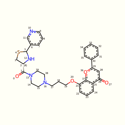 O=C([C@@H]1CSC(c2cccnc2)N1)N1CCN(CCCOc2cccc3c(=O)cc(-c4ccccc4)oc23)CC1